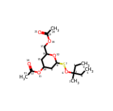 CCC(C)(CC)OSC1CC(OC(C)=O)CC(COC(C)=O)O1